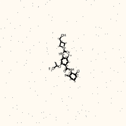 CC(Oc1cc(NC(=O)N2CC(CO)C2)c(F)cc1C(=O)Nc1c(F)cccc1Cl)C(F)(F)F